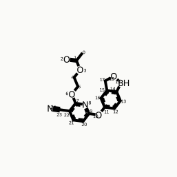 CC(=O)OCCOc1nc(Oc2ccc3c(c2)COB3)ccc1C#N